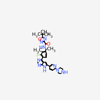 Cc1c([C@@H](C)NC(=O)c2noc(C(C)(C)C)n2)ccc(-c2ncnc3[nH]c(-c4ccc(N5CCNCC5)nc4)cc23)c1F